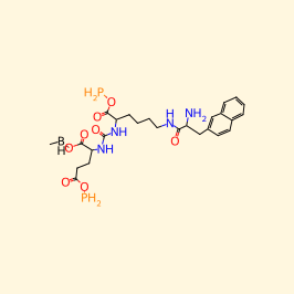 CBOC(=O)C(CCC(=O)OP)NC(=O)NC(CCCCNC(=O)C(N)Cc1ccc2ccccc2c1)C(=O)OP